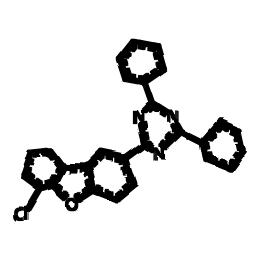 Clc1cccc2c1oc1ccc(-c3nc(-c4ccccc4)nc(-c4ccccc4)n3)cc12